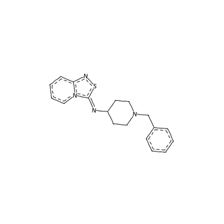 c1ccc(CN2CCC(N=c3snc4ccccn34)CC2)cc1